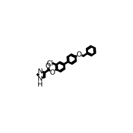 O=C(Oc1ccc(-c2ccc(OCc3ccccc3)cc2)cc1Cl)c1c[nH]cn1